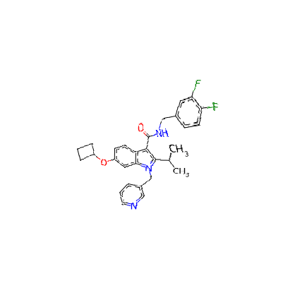 CC(C)c1c(C(=O)NCc2ccc(F)c(F)c2)c2ccc(OC3CCC3)cc2n1Cc1cccnc1